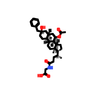 CC(=O)O[C@@H]1C[C@@H]2C[C@@](O)(Cc3ccccc3)CC[C@]2(C)[C@H]2CC[C@]3(C)[C@@H]([C@H](C)CCC(=O)NCC(=O)O)CC[C@H]3[C@H]12